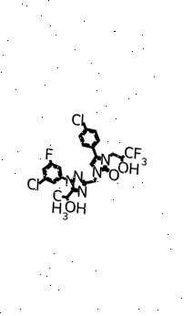 CC(O)c1nc(Cn2cc(-c3ccc(Cl)cc3)n(CC(O)C(F)(F)F)c2=O)nn1-c1cc(F)cc(Cl)c1